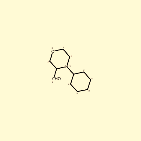 O=CC1COCCN1C1CCCCC1